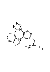 CN(C)Cc1ccc2c(c1)-n1ccc3c1=C(CCC=3)c1nncn1-2